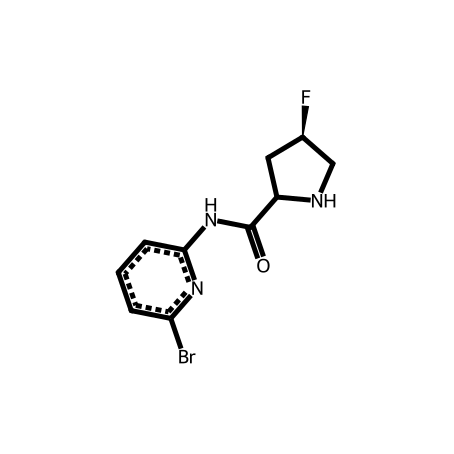 O=C(Nc1cccc(Br)n1)C1C[C@@H](F)CN1